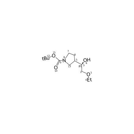 CCOC[C@H](O)C1CCN(C(=O)OC(C)(C)C)C1